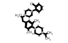 Cc1cc(CC(C)N2CCN(c3ccccc3Cl)CC2)cc(C)c1N1CCN(C(C)C)CC1